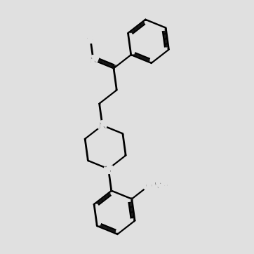 COc1ccccc1N1CCN(CCC(=NO)c2ccccc2)CC1